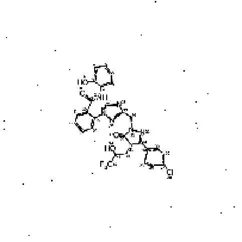 O=C(Nc1ccccc1O)c1ccccc1-n1cnc(Cn2nc(-c3ccc(Cl)cc3)n(C[C@H](O)C(F)(F)F)c2=O)n1